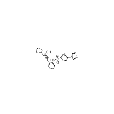 C[C@@H](CC1CCCC1)NCc1ccccc1NS(=O)(=O)c1ccc(-n2cccc2)nc1